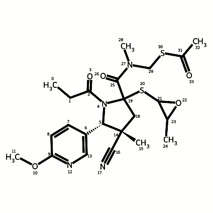 CCC(=O)N1[C@@H](c2ccc(OC)nc2)[C@@](C)(C#N)CC1(SC1OC1C)C(=O)N(C)CSC(C)=O